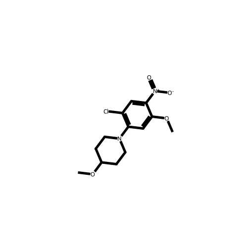 COc1cc(N2CCC(OC)CC2)c(Cl)cc1[N+](=O)[O-]